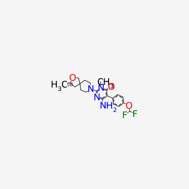 C[C@H]1CC2(CCN(c3nc(N)c(-c4ccc(OC(F)F)cc4)c(=O)n3C)CC2)CO1